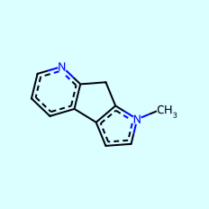 Cn1ccc2c1Cc1ncccc1-2